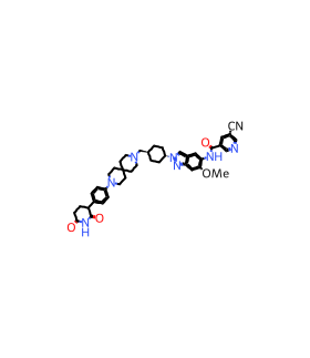 COc1cc2nn([C@H]3CC[C@H](CN4CCC5(CC4)CCN(c4ccc(C6CCC(=O)NC6=O)cc4)CC5)CC3)cc2cc1NC(=O)c1cncc(C#N)c1